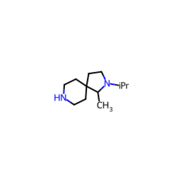 CC(C)N1CCC2(CCNCC2)C1C